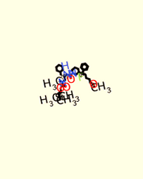 COCCCC[C@](F)(c1ccccc1)C1CCCN(C(=O)N[C@@H](CC2CCCCC2)CN(C)C(=O)OCC[Si](C)(C)C)C1